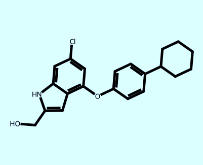 OCc1cc2c(Oc3ccc(C4CCCCC4)cc3)cc(Cl)cc2[nH]1